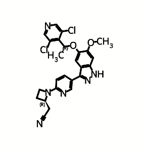 COc1cc2[nH]nc(-c3ccc(N4CC[C@@H]4CC#N)nc3)c2cc1O[C@H](C)c1c(Cl)cncc1Cl